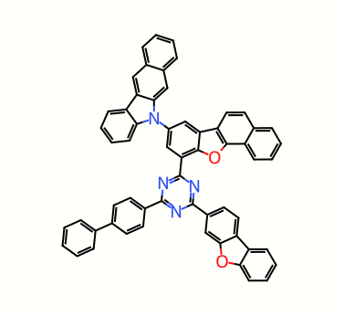 c1ccc(-c2ccc(-c3nc(-c4ccc5c(c4)oc4ccccc45)nc(-c4cc(-n5c6ccccc6c6cc7ccccc7cc65)cc5c4oc4c6ccccc6ccc54)n3)cc2)cc1